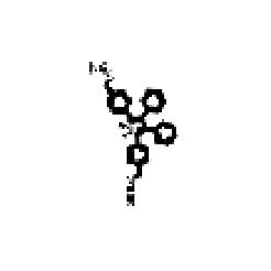 C[Si]1(C)C(c2ccc(CN=C=S)cc2)=C(c2ccccc2)C(c2ccccc2)=C1c1ccc(CSC#N)cc1